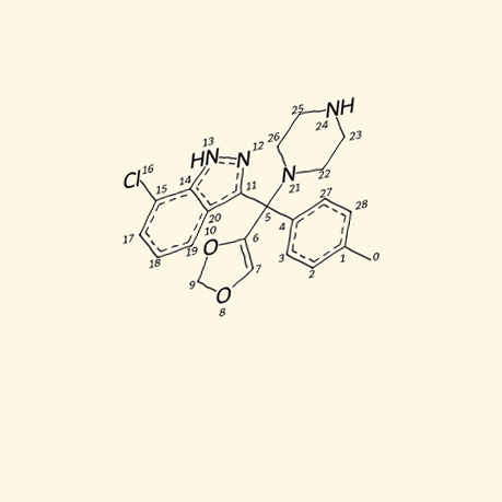 Cc1ccc(C(C2=COCO2)(c2n[nH]c3c(Cl)cccc23)N2CCNCC2)cc1